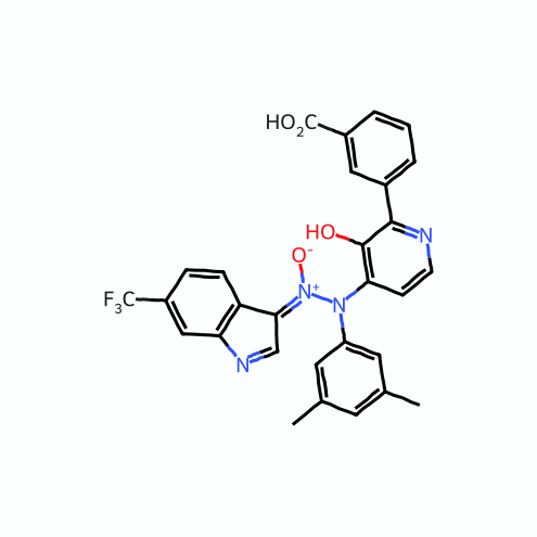 Cc1cc(C)cc(N(c2ccnc(-c3cccc(C(=O)O)c3)c2O)[N+]([O-])=C2C=Nc3cc(C(F)(F)F)ccc32)c1